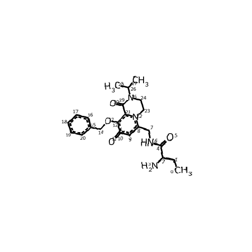 CCC(N)C(=O)NCc1cc(=O)c(OCc2ccccc2)c2n1CCN(C(C)C)C2=O